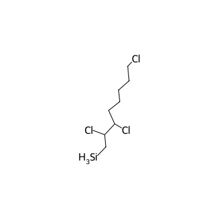 [SiH3]CC(Cl)C(Cl)CCCCCCl